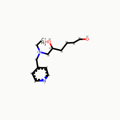 CCN(Cc1ccncc1)CC(O)CCCC[O]